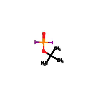 C[Si](C)(C)OP(=O)(I)I